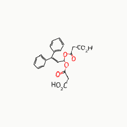 O=C(O)CC(=O)OC(C=C(c1ccccc1)c1ccccc1)OC(=O)CC(=O)O